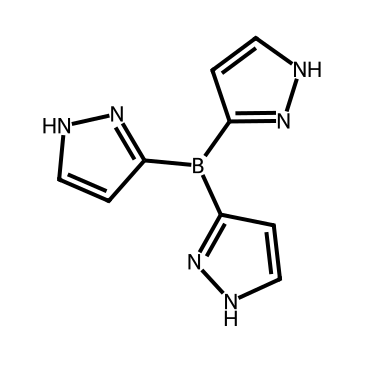 c1cc(B(c2cc[nH]n2)c2cc[nH]n2)n[nH]1